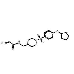 C=CC(=O)NCC1CCN(S(=O)(=O)c2ccc(OC3CCCC3)cc2)CC1